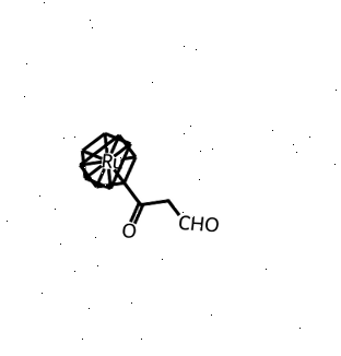 O=CCC(=O)[C]12[CH]3[CH]4[CH]5[CH]1[Ru]45321678[CH]2[CH]1[CH]6[CH]7[CH]28